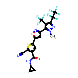 Cn1nc(C(F)(F)C(F)(F)F)c(C(F)(F)F)c1-c1cc(-c2cc(C(=O)NC3CC3)c(C#N)s2)on1